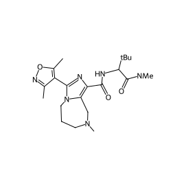 CNC(=O)C(NC(=O)c1nc(-c2c(C)noc2C)n2c1CN(C)CCC2)C(C)(C)C